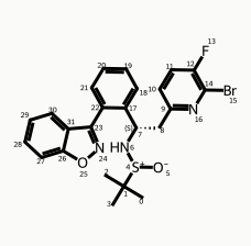 CC(C)(C)[S+]([O-])N[C@@H](Cc1ccc(F)c(Br)n1)c1ccccc1-c1noc2ccccc12